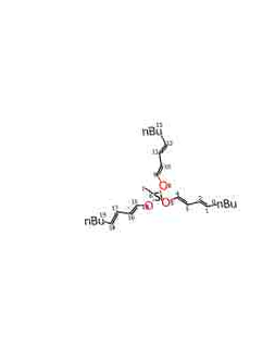 CCCCC=CC=CO[Si](C)(OC=CC=CCCCC)OC=CC=CCCCC